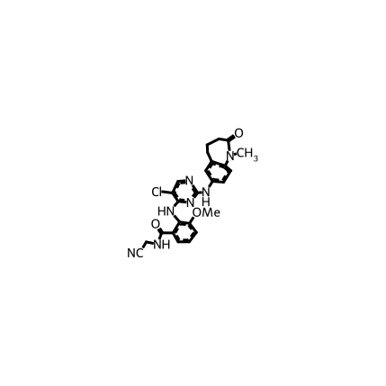 COc1cccc(C(=O)NCC#N)c1Nc1nc(Nc2ccc3c(c2)CCCC(=O)N3C)ncc1Cl